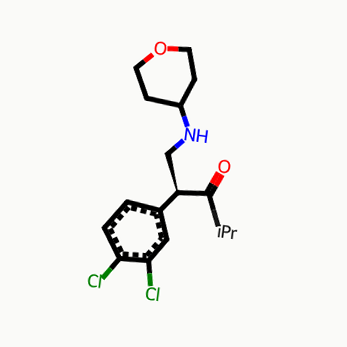 CC(C)C(=O)[C@H](CNC1CCOCC1)c1ccc(Cl)c(Cl)c1